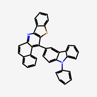 c1ccc(-n2c3ccccc3c3cc(-c4c5sc6ccccc6c5nc5ccc6ccccc6c45)ccc32)cc1